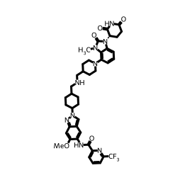 COc1cc2nn(C3CCC(CNCC4CCN(c5cccc6c5n(C)c(=O)n6[C@H]5CCC(=O)NC5=O)CC4)CC3)cc2cc1NC(=O)c1cccc(C(F)(F)F)n1